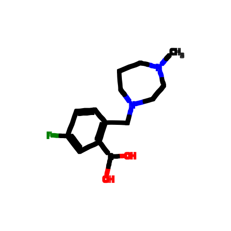 CN1CCCN(Cc2ccc(F)cc2B(O)O)CC1